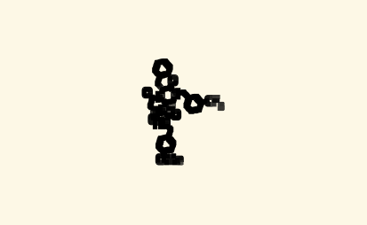 COc1ccc(CNC(=O)N2[C@H]3CN(Cc4cccc(C(F)(F)F)c4)C(=O)[C@H](Cc4ccccc4)N3C(=O)CN2C)cc1